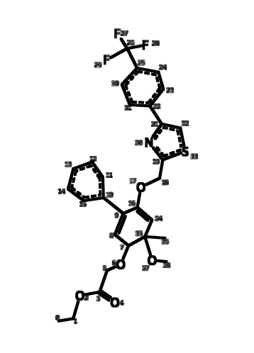 CCOC(=O)COC1C=C(c2ccccc2)C(OCc2nc(-c3ccc(C(F)(F)F)cc3)cs2)=CC1(C)OC